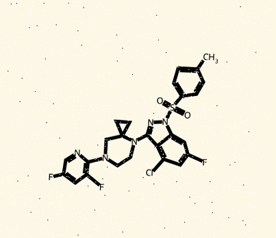 Cc1ccc(S(=O)(=O)n2nc(N3CCN(c4ncc(F)cc4F)CC34CC4)c3c(Cl)cc(F)cc32)cc1